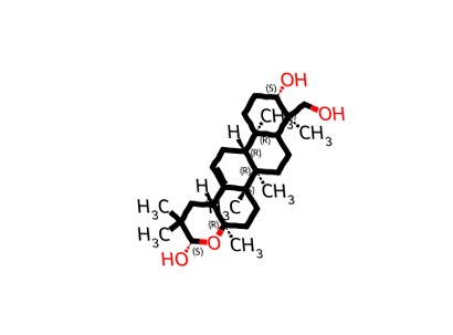 CC1(C)C[C@@H]2C3=CC[C@@H]4[C@@]5(C)CC[C@H](O)[C@@](C)(CO)C5CC[C@@]4(C)[C@]3(C)CC[C@@]2(C)O[C@@H]1O